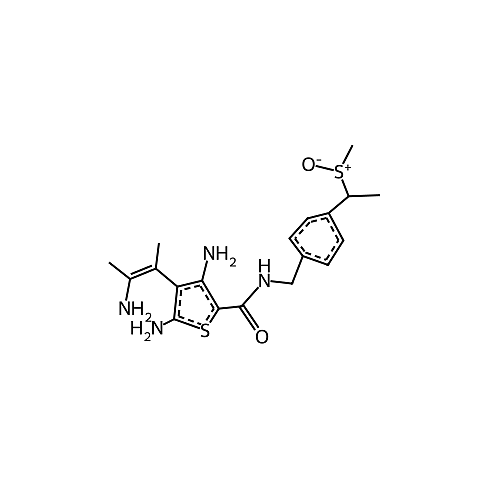 C/C(N)=C(\C)c1c(N)sc(C(=O)NCc2ccc(C(C)[S+](C)[O-])cc2)c1N